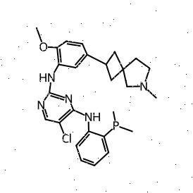 COc1ccc(C2CC3(CCN(C)C3)C2)cc1Nc1ncc(Cl)c(Nc2ccccc2P(C)C)n1